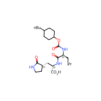 CCCCC1CCC(OC(=O)N[C@@H](CC(C)C)C(=O)N[C@@H](C[C@@H]2CCNC2=O)C(=O)O)CC1